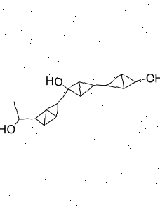 CC(O)C1C2C3C(C4(O)C5C(C6C7C(O)C76)C54)C123